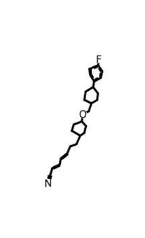 N#CC=CC=CCCC1CCC(OCC2CCC(c3ccc(F)cc3)CC2)CC1